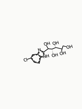 OCC(O)[C@@H](O)[C@H](O)C(O)c1nc2cc(Cl)ccc2[nH]1